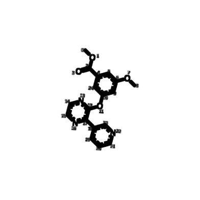 COC(=O)c1cc(OC)cc(Oc2nccnc2-c2cccnc2)c1